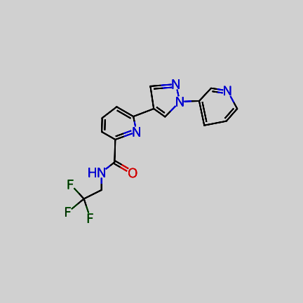 O=C(NCC(F)(F)F)c1cccc(-c2cnn(-c3cccnc3)c2)n1